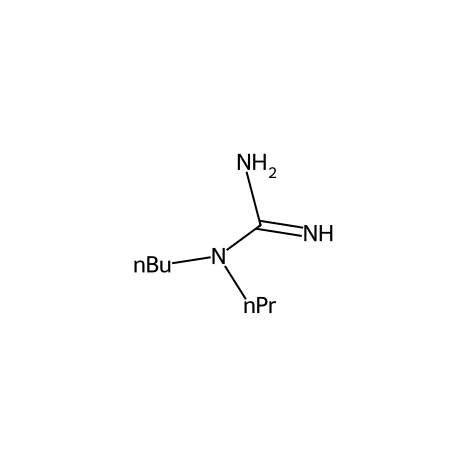 CCCCN(CCC)C(=N)N